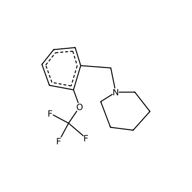 FC(F)(F)Oc1ccccc1CN1CCCCC1